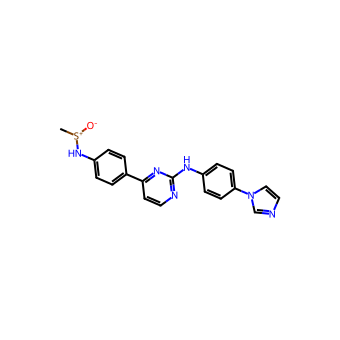 C[S+]([O-])Nc1ccc(-c2ccnc(Nc3ccc(-n4ccnc4)cc3)n2)cc1